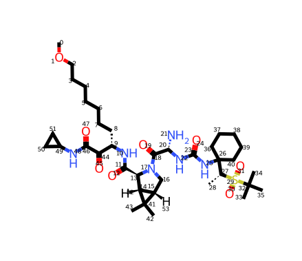 COCCCCCCC[C@H](NC(=O)[C@@H]1[C@@H]2[C@H](CN1C(=O)[C@H](N)NC(=O)NC1([C@@H](C)S(=O)(=O)C(C)(C)C)CCCCC1)C2(C)C)C(=O)C(=O)NC1CC1